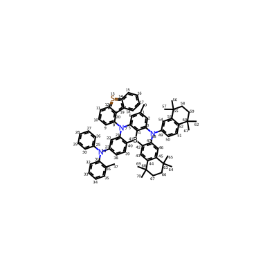 Cc1cc2c3c(c1)N(c1cccc4sc5ccccc5c14)c1cc(N(c4ccccc4)c4ccccc4C)ccc1B3c1cc3c(cc1N2c1ccc2c(c1)C(C)(C)CCC2(C)C)C(C)(C)CCC3(C)C